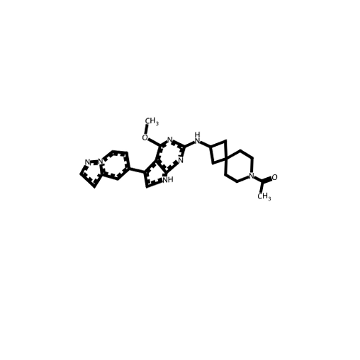 COc1nc(NC2CC3(CCN(C(C)=O)CC3)C2)nc2[nH]cc(-c3ccn4nccc4c3)c12